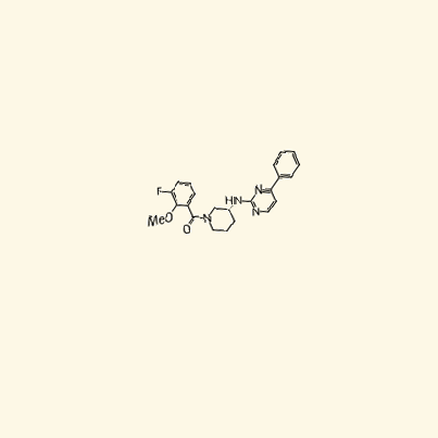 COc1c(F)cccc1C(=O)N1CCC[C@@H](Nc2nccc(-c3ccccc3)n2)C1